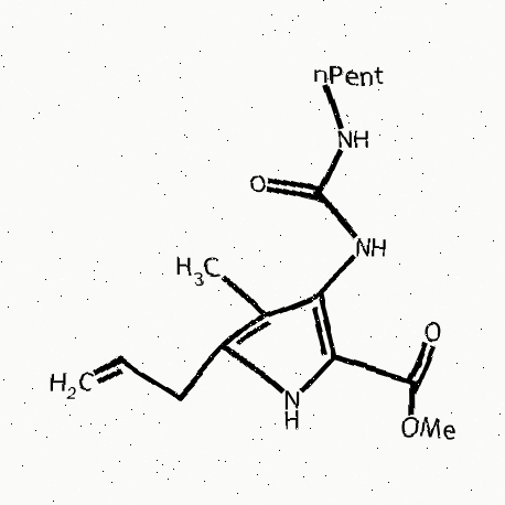 C=CCc1[nH]c(C(=O)OC)c(NC(=O)NCCCCC)c1C